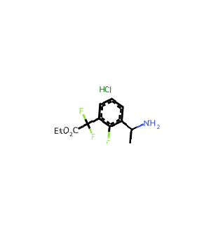 CCOC(=O)C(F)(F)c1cccc(C(C)N)c1F.Cl